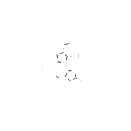 C=Cc1cc(C)n(-c2sc(C)cc2C(=O)OC)c1C